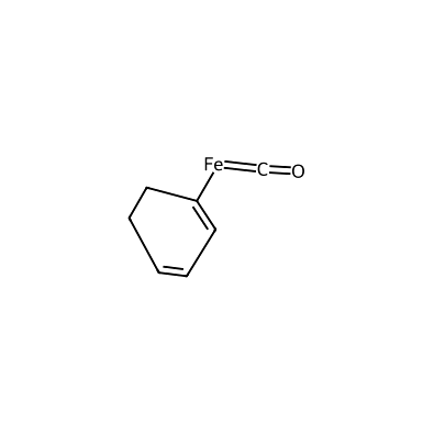 O=[C]=[Fe][C]1=CC=CCC1